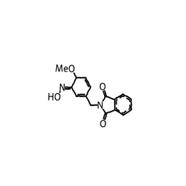 COC1C=CC(CN2C(=O)c3ccccc3C2=O)=CC1=NO